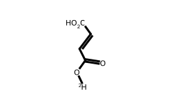 [2H]OC(=O)/C=C/C(=O)O